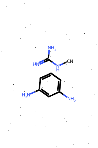 N#CNC(=N)N.Nc1cccc(N)c1